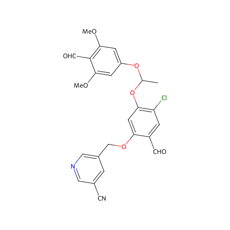 COc1cc(OC(C)Oc2cc(OCc3cncc(C#N)c3)c(C=O)cc2Cl)cc(OC)c1C=O